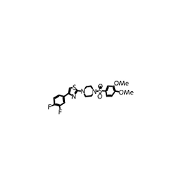 COc1ccc(S(=O)(=O)N2CCN(c3nc(-c4ccc(F)c(F)c4)cs3)CC2)cc1OC